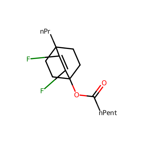 CCCCCC(=O)OC12CCC(CCC)(CC1)C(F)=C2F